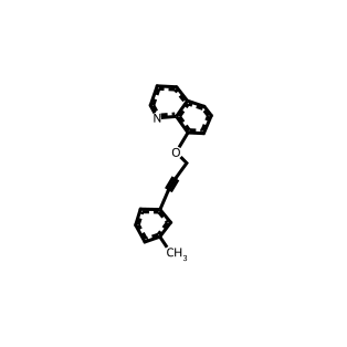 Cc1cccc(C#CCOc2cccc3cccnc23)c1